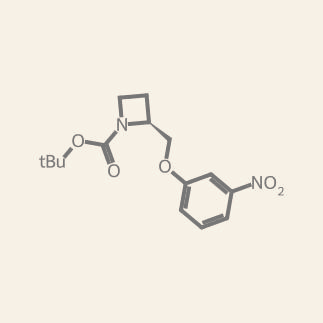 CC(C)(C)OC(=O)N1CC[C@H]1COc1cccc([N+](=O)[O-])c1